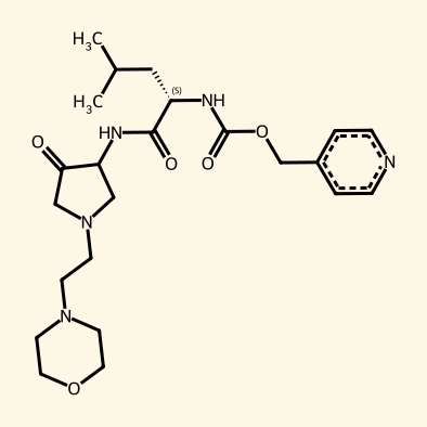 CC(C)C[C@H](NC(=O)OCc1ccncc1)C(=O)NC1CN(CCN2CCOCC2)CC1=O